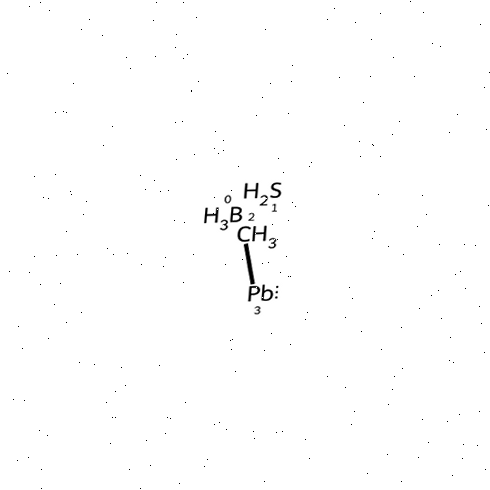 B.S.[CH3][Pb]